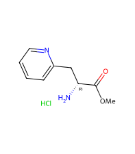 COC(=O)[C@H](N)Cc1ccccn1.Cl